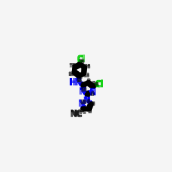 N#Cc1ccn(-c2nc(Cl)cc(Nc3ccc(Cl)cc3)n2)n1